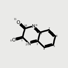 O=C1N=c2[c]cccc2=NC1=O